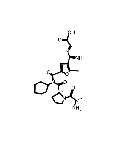 [CH2]c1oc(C(=O)N(C(=O)[C@@H]2CCCN2C(=O)[C@H](C)N)C2CCCCC2)cc1C(=N)N=CC(=O)O